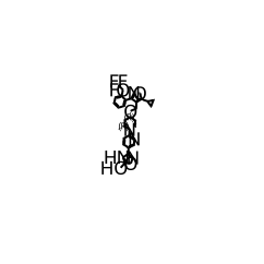 C[C@@H]1C[C@H](OCc2c(-c3ccccc3OC(F)(F)F)noc2C2CC2)CCN1c1ccc(C2=NOC(O)N2)cn1